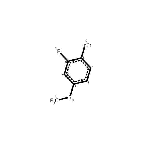 C[CH]Cc1ccc(SC(F)(F)F)cc1F